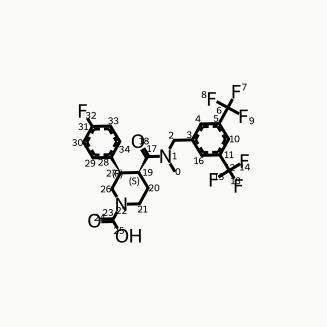 CN(Cc1cc(C(F)(F)F)cc(C(F)(F)F)c1)C(=O)[C@H]1CCN(C(=O)O)C[C@H]1c1ccc(F)cc1